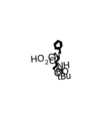 CC(C)CC(NC(=O)OC(C)(C)C)C(=O)CN(CC(=O)O)Cc1ccccc1